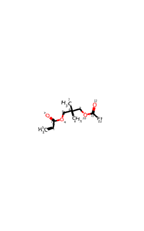 C=CC(=O)OCC(C)(C)COC(=O)CC